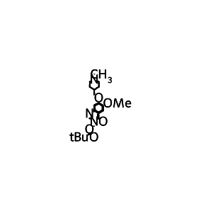 COc1cc2c(=O)n(COC(=O)C(C)(C)C)cnc2cc1OCC1CCN(C)CC1